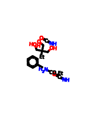 CCC(CO)(CO)CO.CCOC(N)=O.Cc1ccccc1.N=C=O.N=C=O